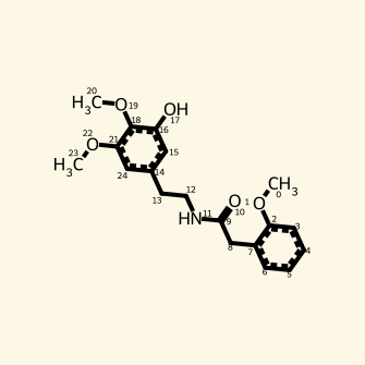 COc1ccccc1CC(=O)NCCc1cc(O)c(OC)c(OC)c1